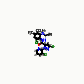 CC(C)CN(C(=O)O)c1cc(C(F)(F)F)cc(Cl)c1NC(=O)c1cc(Br)nn1-c1ncccc1Cl